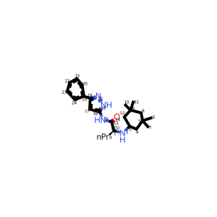 CCC[C@H](NC1CC(C)(C)CC(C)(C)C1)C(=O)Nc1cc(-c2ccccc2)n[nH]1